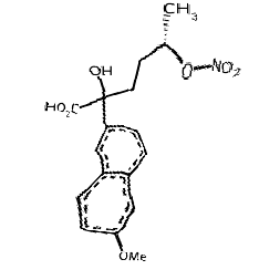 COc1ccc2cc(C(O)(CC[C@H](C)O[N+](=O)[O-])C(=O)O)ccc2c1